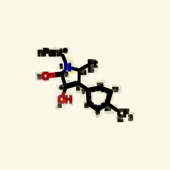 CCCCCN1C(=O)C(O)=C(c2ccc(C(F)(F)F)cc2)C1CC